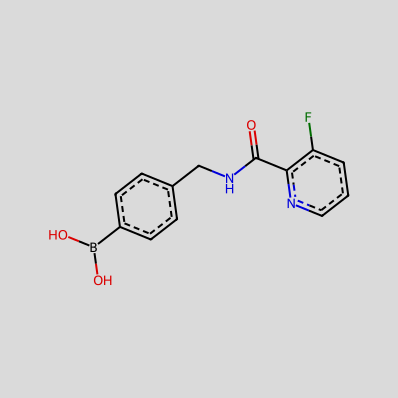 O=C(NCc1ccc(B(O)O)cc1)c1ncccc1F